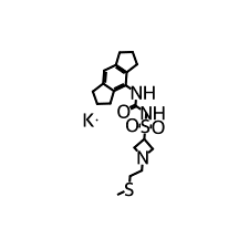 CSCCN1CC(S(=O)(=O)NC(=O)Nc2c3c(cc4c2CCC4)CCC3)C1.[K]